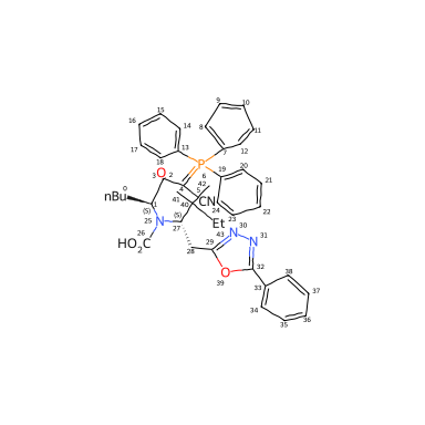 CCCC[C@@H](C(=O)C(C#N)=P(c1ccccc1)(c1ccccc1)c1ccccc1)N(C(=O)O)[C@@H](Cc1nnc(-c2ccccc2)o1)C(C)(C)CC